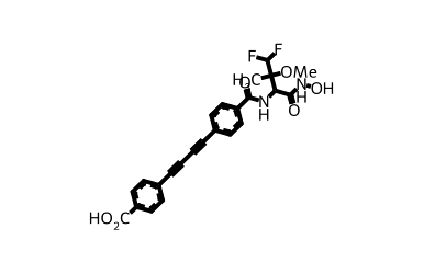 COC(C)(C(F)F)C(NC(=O)c1ccc(C#CC#Cc2ccc(C(=O)O)cc2)cc1)C(=O)NO